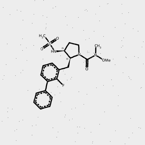 CON(C)C(=O)N1CC[C@H](NS(C)(=O)=O)[C@@H]1Cc1cccc(-c2ccccc2)c1F